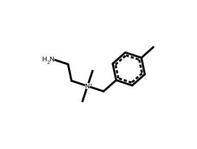 Cc1ccc(C[N+](C)(C)CCN)cc1